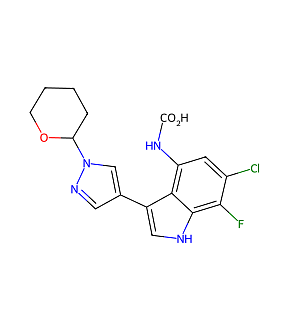 O=C(O)Nc1cc(Cl)c(F)c2[nH]cc(-c3cnn(C4CCCCO4)c3)c12